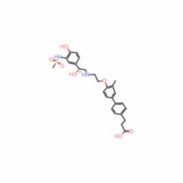 Cc1cc(-c2ccc(CCC(=O)O)cc2)ccc1OCCNC[C@@H](O)c1ccc(O)c(NS(C)(=O)=O)c1